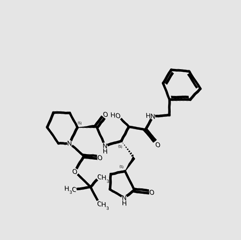 CC(C)(C)OC(=O)N1CCCC[C@H]1C(=O)N[C@@H](C[C@@H]1CCNC1=O)C(O)C(=O)NCc1ccccc1